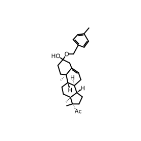 CC(=O)[C@@]1(C)CC[C@H]2[C@@H]3CC=C4CC(O)(OCc5ccc(C)cc5)CC[C@]4(C)[C@H]3CC[C@@]21C